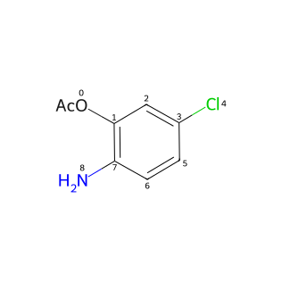 CC(=O)Oc1cc(Cl)ccc1N